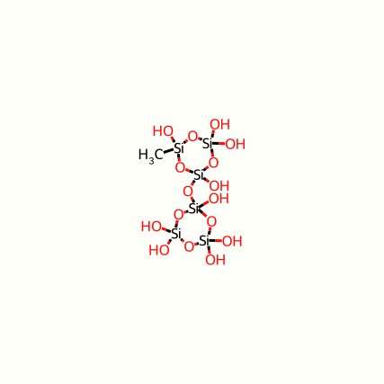 C[Si]1(O)O[Si](O)(O)O[Si](O)(O[Si]2(O)O[Si](O)(O)O[Si](O)(O)O2)O1